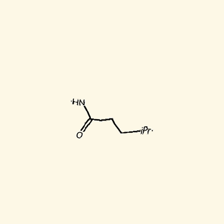 C[C](C)CCC([NH])=O